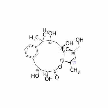 C/C(=C/[C@@H](C)CO)[C@@H]1C[C@H](O)C[C@H](O)C(C)(C)c2cccc(c2)C[C@@H](O)[C@H](O)C(=O)O1